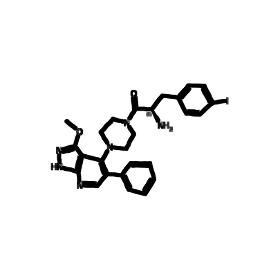 COc1n[nH]c2ncc(-c3ccccc3)c(N3CCN(C(=O)[C@H](N)Cc4ccc(I)cc4)CC3)c12